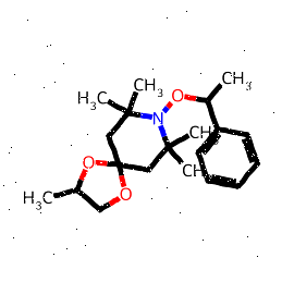 CC1COC2(CC(C)(C)N(OC(C)c3ccccc3)C(C)(C)C2)O1